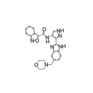 O=C(Nc1c[nH]nc1-c1nc2cc(CN3CCOCC3)ccc2[nH]1)c1onc2ccccc12